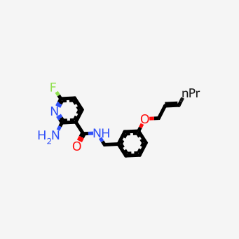 CCC/C=C/COc1cccc(CNC(=O)c2ccc(F)nc2N)c1